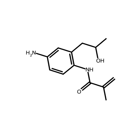 C=C(C)C(=O)Nc1ccc(N)cc1CC(C)O